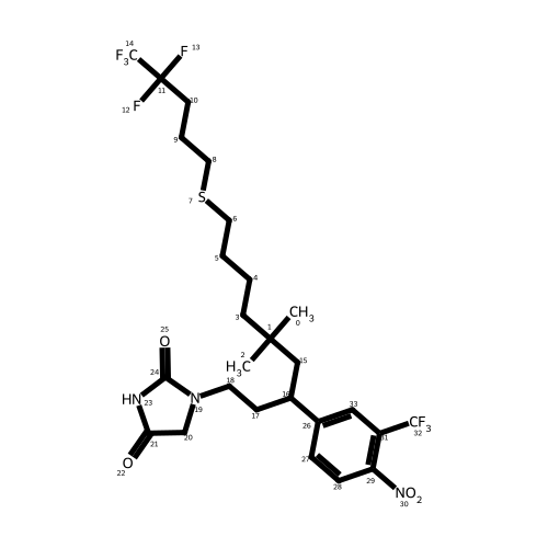 CC(C)(CCCCSCCCC(F)(F)C(F)(F)F)CC(CCN1CC(=O)NC1=O)c1ccc([N+](=O)[O-])c(C(F)(F)F)c1